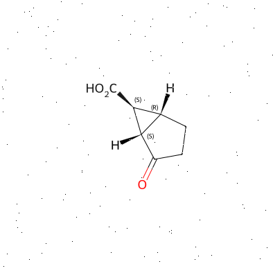 O=C(O)[C@H]1[C@@H]2CCC(=O)[C@@H]21